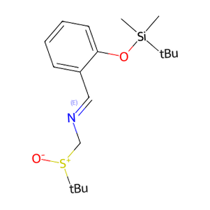 CC(C)(C)[S+]([O-])C/N=C/c1ccccc1O[Si](C)(C)C(C)(C)C